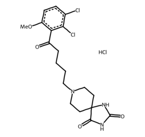 COc1ccc(Cl)c(Cl)c1C(=O)CCCCN1CCC2(CC1)NC(=O)NC2=O.Cl